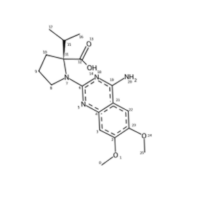 COc1cc2nc(N3CCC[C@@]3(C(=O)O)C(C)C)nc(N)c2cc1OC